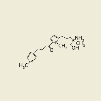 Cc1ccc(CCCC(=O)c2ccc(CCC[C@@](C)(N)CO)n2C)cc1